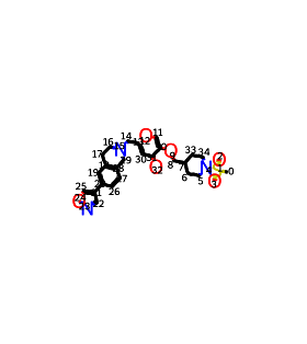 CS(=O)(=O)N1CCC(COc2coc(CN3CCc4cc(-c5cnoc5)ccc4C3)cc2=O)CC1